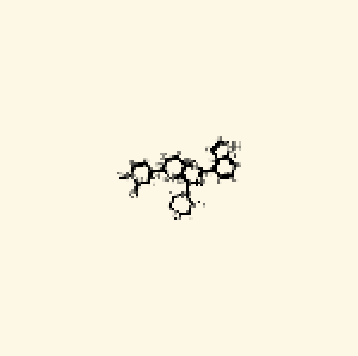 C[C@@H]1COCCN1c1nc(-c2cccc3[nH]ccc23)nc2ccc(-c3ccn(C)c(=O)c3)nc12